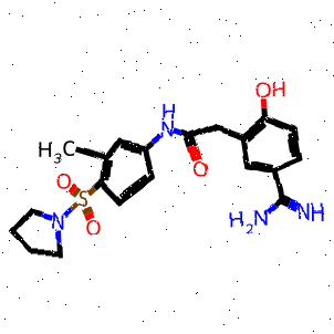 Cc1cc(NC(=O)Cc2cc(C(=N)N)ccc2O)ccc1S(=O)(=O)N1CCCC1